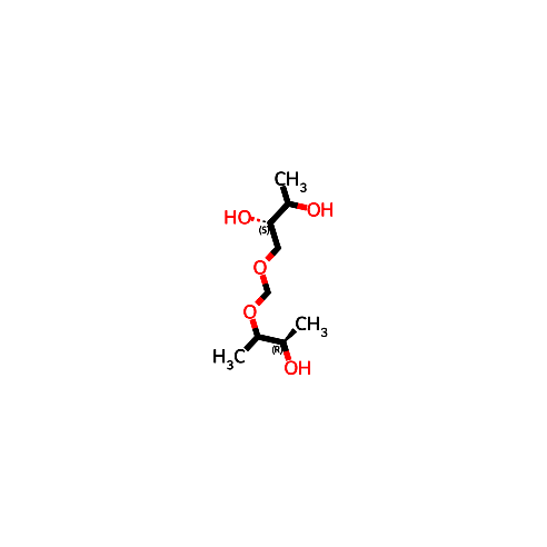 CC(OCOC[C@H](O)C(C)O)[C@@H](C)O